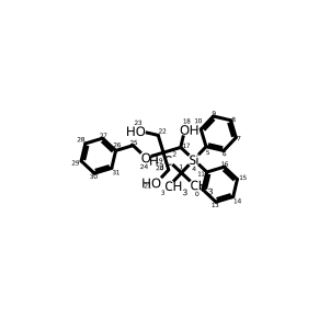 CC(C)(C)[Si](c1ccccc1)(c1ccccc1)C(O)C(CO)(CO)OCc1ccccc1